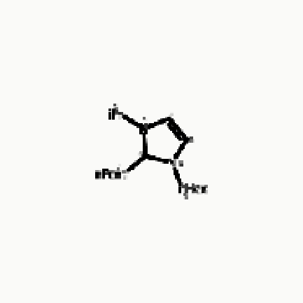 CCCCCCN1C=CN(C(C)C)C1CCCCC